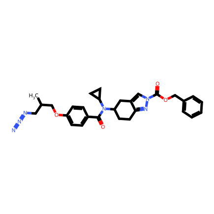 CC(CN=[N+]=[N-])COc1ccc(C(=O)N(C2CC2)C2CCc3nn(C(=O)OCc4ccccc4)cc3C2)cc1